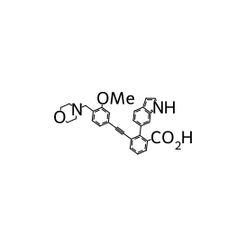 COc1cc(C#Cc2cccc(C(=O)O)c2-c2ccc3cc[nH]c3c2)ccc1CN1CCOCC1